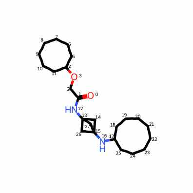 O=C(COC1CCCCCCC1)NC12CC(NC3CCCCCCCC3)(C1)C2